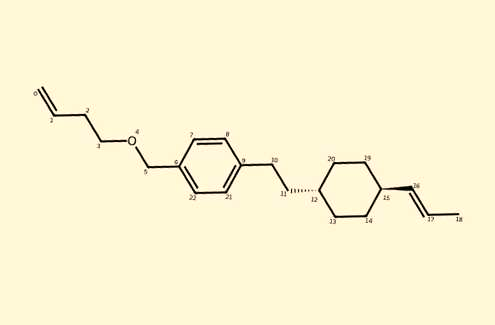 C=CCCOCc1ccc(CC[C@H]2CC[C@H](C=CC)CC2)cc1